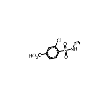 CCCNS(=O)(=O)c1ccc(C(=O)O)cc1Cl